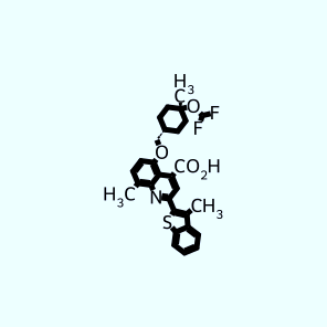 Cc1c(-c2cc(C(=O)O)c3c(OC[C@H]4CC[C@@](C)(OC(F)F)CC4)ccc(C)c3n2)sc2ccccc12